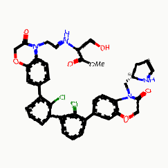 COC(=O)C(CO)NCCN1C(=O)COc2cc(-c3cccc(-c4cccc(-c5ccc6c(c5)OCC(=O)N6C[C@@H]5CCCN5)c4Cl)c3Cl)ccc21